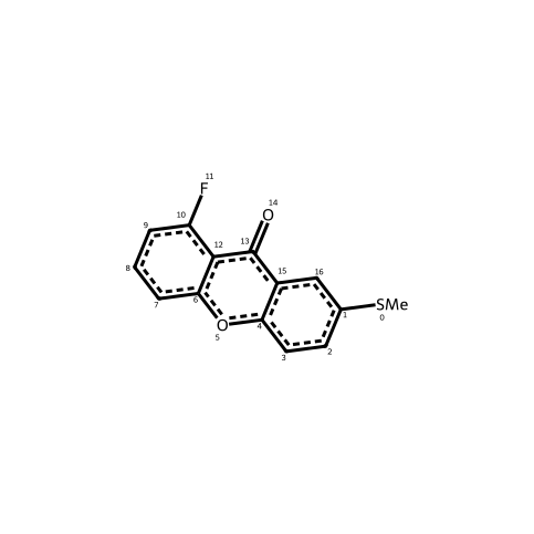 CSc1ccc2oc3cccc(F)c3c(=O)c2c1